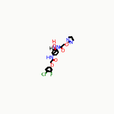 O=C(COc1ccc(Cl)c(F)c1)NC12CCC(NC(=O)COc3ncccn3)(CC1)[C@@H](O)C2